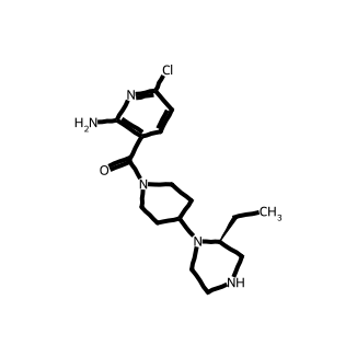 CC[C@H]1CNCCN1C1CCN(C(=O)c2ccc(Cl)nc2N)CC1